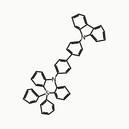 c1ccc(S2(c3ccccc3)c3ccccc3N(c3ccc(-c4ccc(-n5c6ccccc6c6ccccc65)cc4)cc3)c3ccccc32)cc1